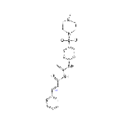 CN1CCN(S(=O)(=O)c2ccc(NC(=S)NC(=O)/C=C/c3ccccc3)cc2)CC1